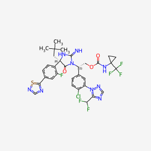 CC(C)(C)C[C@]1(c2ccc(-c3ncns3)cc2F)NC(=N)N([C@H](COC(=O)NC2(C(F)(F)F)CC2)c2ccc(Cl)c(-n3ncnc3C(F)F)c2)C1=O